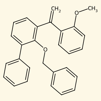 C=C(c1ccccc1OC)c1cccc(-c2ccccc2)c1OCc1ccccc1